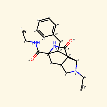 CC(C)CNC(=O)C12CC3CN(CC(C)C)C(C3C(=O)N1)C2Cc1ccccc1